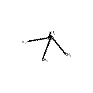 [CH2]CCc1cc(OCCCCCCCCCCCCCCCCCCCC)c(OCCCCCCCCCCCCCCCCCCCC)c(OCCCCCCCCCCCCCCCCCCCC)c1